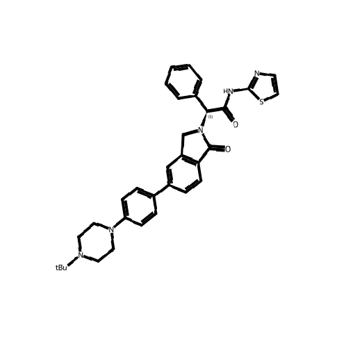 CC(C)(C)N1CCN(c2ccc(-c3ccc4c(c3)CN([C@H](C(=O)Nc3nccs3)c3ccccc3)C4=O)cc2)CC1